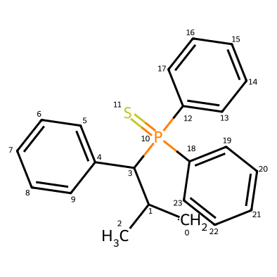 [CH2]C(C)C(c1ccccc1)P(=S)(c1ccccc1)c1ccccc1